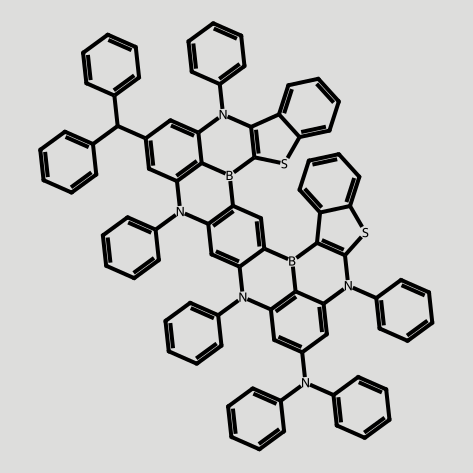 c1ccc(C(c2ccccc2)c2cc3c4c(c2)N(c2ccccc2)c2c(sc5ccccc25)B4c2cc4c(cc2N3c2ccccc2)N(c2ccccc2)c2cc(N(c3ccccc3)c3ccccc3)cc3c2B4c2c(sc4ccccc24)N3c2ccccc2)cc1